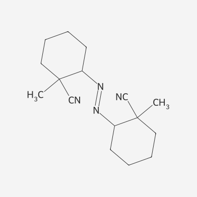 CC1(C#N)CCCCC1/N=N/C1CCCCC1(C)C#N